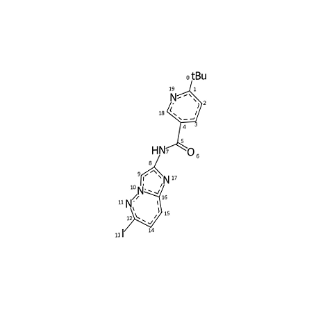 CC(C)(C)c1ccc(C(=O)Nc2cn3nc(I)ccc3n2)cn1